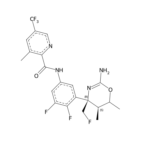 Cc1cc(C(F)(F)F)cnc1C(=O)Nc1cc(F)c(F)c([C@]2(CF)N=C(N)OC(C)[C@H]2C)c1